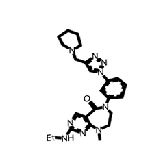 CCNc1ncc2c(n1)N(C)CCN(c1cccc(-n3cc(CN4CCCCC4)nn3)c1)C2=O